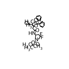 CC(C)(C)OC(=O)N1C[C@H](NC(=O)CC(CCCl)O[Si](c2ccccc2)(c2ccccc2)C(C)(C)C)CC(F)(F)C1